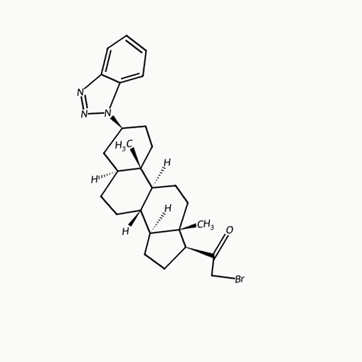 C[C@]12CC[C@H](n3nnc4ccccc43)C[C@@H]1CC[C@@H]1[C@@H]2CC[C@]2(C)[C@@H](C(=O)CBr)CC[C@@H]12